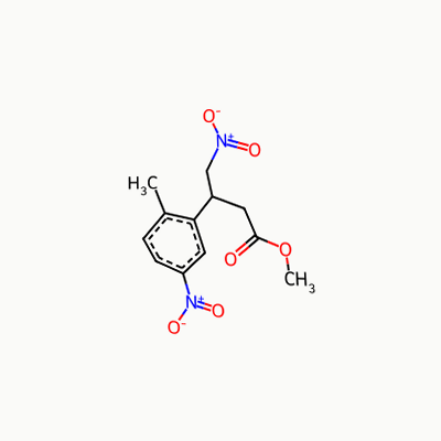 COC(=O)CC(C[N+](=O)[O-])c1cc([N+](=O)[O-])ccc1C